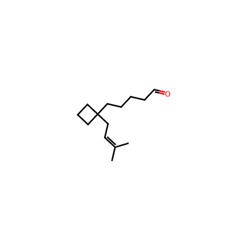 CC(C)=CCC1(CCCCC=O)CCC1